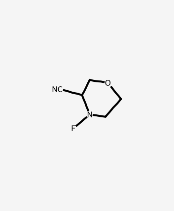 N#CC1COCCN1F